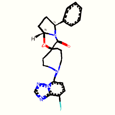 O=C1N2[C@@H](CC[C@H]2c2ccccc2)OC12CCN(c1ccc(F)c3ncnn13)CC2